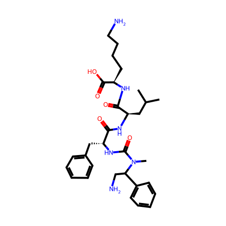 CC(C)C[C@@H](NC(=O)[C@@H](Cc1ccccc1)NC(=O)N(C)C(CN)c1ccccc1)C(=O)N[C@H](CCCCN)C(=O)O